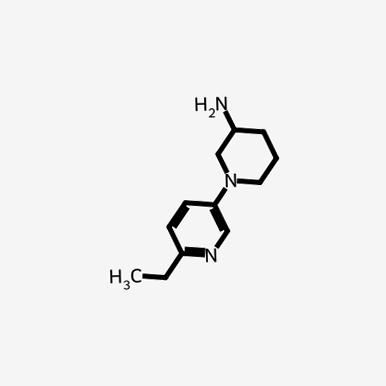 CCc1ccc(N2CCCC(N)C2)cn1